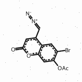 CC(=O)Oc1cc2oc(=O)cc(C=[N+]=[N-])c2cc1Br